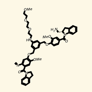 C=Nc1cc(OCc2cc(COc3ccc(C(=O)N4c5ccccc5C[C@H]4CN)cc3OC)cc(NCCOCCOCCOC)c2)c(OC)cc1C(=O)N1CCc2ccccc21